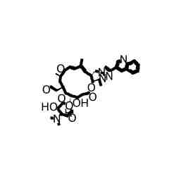 CC[C@H]1OC(=O)C[C@@H](O)[C@H](C)[C@@H](O[C@@H]2O[C@@H]3OC3C(N(C)C)C2O)[C@@H](CC=O)C[C@@H](C)C(=O)/C=C/C(C)=C/[C@@H]1Cn1cc(-c2cnc3ccccc3c2)nn1